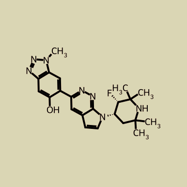 Cn1nnc2cc(O)c(-c3cc4ccn([C@H]5CC(C)(C)NC(C)(C)[C@H]5F)c4nn3)cc21